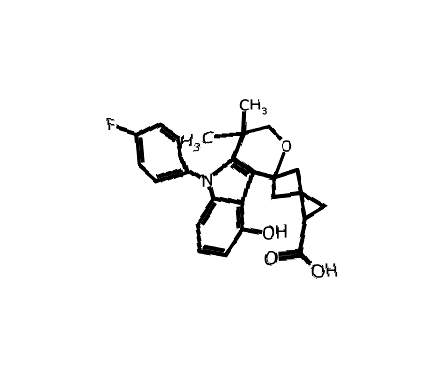 CC1(C)COC2(CC3(CC3C(=O)O)C2)c2c1n(-c1ccc(F)cc1)c1cccc(O)c21